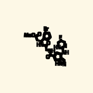 COC(=O)C[C@H](NC(=O)CNC(=O)c1cc(NC2=NCC(F)CN2)c2cn[nH]c2c1)c1cccc(Br)c1